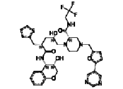 O=C(N[C@H]1c2ccccc2OC[C@H]1O)[C@H](Cc1cccs1)C[C@H](O)CN1CCN(Cc2ccc(-c3cncnc3)o2)C[C@H]1C(=O)NCC(F)(F)F